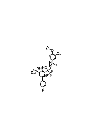 COc1cc(C(=O)NCC(O)(c2cc(C3(N)COC3)cc(-c3ccc(F)cc3)n2)C(F)(F)F)ccc1OC1CC1